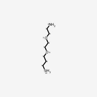 NCCOCCOCCC[SiH3]